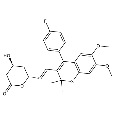 COc1cc2c(cc1OC)C(c1ccc(F)cc1)=C(C=C[C@H]1C[C@H](O)CC(=O)O1)C(C)(C)S2